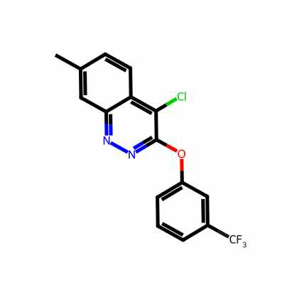 Cc1ccc2c(Cl)c(Oc3cccc(C(F)(F)F)c3)nnc2c1